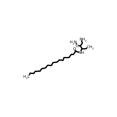 CCCCCCCCCCCCCCCCCC(=O)NC(CC)C(CN)ON